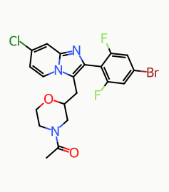 CC(=O)N1CCOC(Cc2c(-c3c(F)cc(Br)cc3F)nc3cc(Cl)ccn23)C1